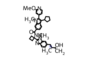 C=C(O)/C(C)=C/c1ccc2nc(C3(NC(=O)c4ccc5c(C6CCCC6)c(-c6ccnc(OC)c6)n(C)c5c4)CCC3)n(C)c2c1